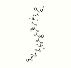 COC(=O)CCC(C)(C)CCC(=O)CCC(=O)CCC(C)(C)CCCOC=O